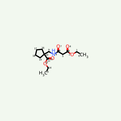 CCOC(=O)CC(=O)NCC1(C(=O)OCC)CCCC1